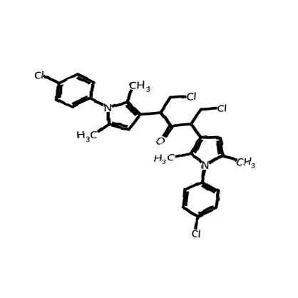 Cc1cc(C(CCl)C(=O)C(CCl)c2cc(C)n(-c3ccc(Cl)cc3)c2C)c(C)n1-c1ccc(Cl)cc1